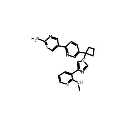 CNc1ncccc1-c1cn(C2(c3ccc(-c4cnc(N)nc4)nc3)CCC2)cn1